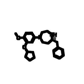 COc1ccc(N2CCN[C@@H](Cc3ccccc3)CC2)cc1OC1CCCC1